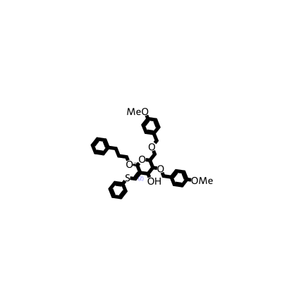 COc1ccc(COCC2O[C@H](OCCCc3ccccc3)/C(=C\Sc3ccccc3)C(O)C2OCc2ccc(OC)cc2)cc1